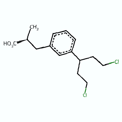 C[C@@H](Cc1cccc(C(CCCl)CCCl)c1)C(=O)O